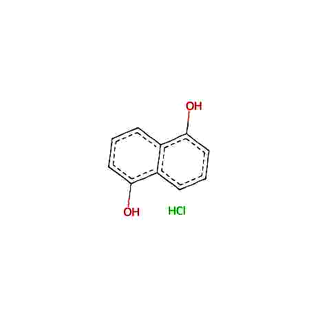 Cl.Oc1cccc2c(O)cccc12